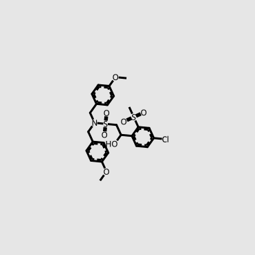 COc1ccc(CN(Cc2ccc(OC)cc2)S(=O)(=O)CC(O)c2ccc(Cl)cc2S(C)(=O)=O)cc1